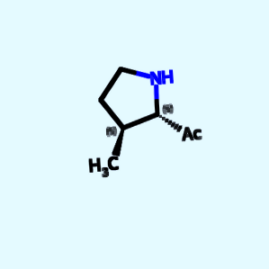 CC(=O)[C@H]1NCC[C@@H]1C